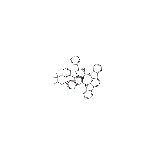 CC1CC(C)(C)c2c(-c3ccc(-n4c5ccccc5c5ccc6c7ccccc7n(-c7nc(-c8ccccc8)nc(-c8ccccc8)n7)c6c54)cc3)cccc2C1(C)C